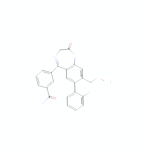 COCc1cc2c(cc1-c1ccccc1Cl)C(c1cccc(C(N)=O)c1)=NCC(=O)N2